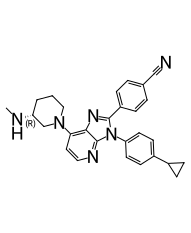 CN[C@@H]1CCCN(c2ccnc3c2nc(-c2ccc(C#N)cc2)n3-c2ccc(C3CC3)cc2)C1